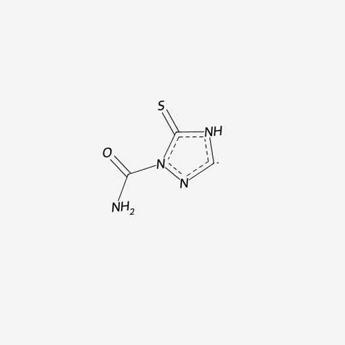 NC(=O)n1n[c][nH]c1=S